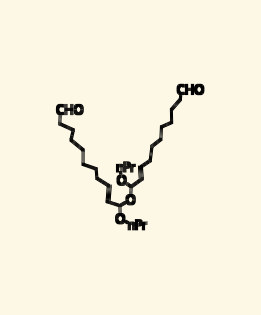 CCCOC(C=CCCCCCCCC=O)OC(C=CCCCCCCCC=O)OCCC